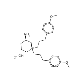 COc1ccc(CCC[N+]2(CCCc3ccc(OC)cc3)CCC[C@@H](N)C2)cc1.Cl.[Cl-]